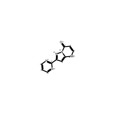 O=c1cc[nH]c2cc(-c3ncccn3)nn12